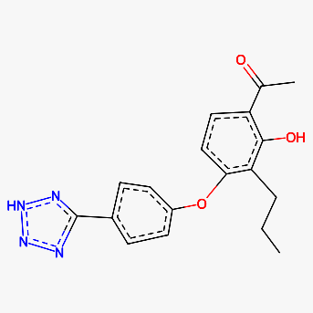 CCCc1c(Oc2ccc(-c3nn[nH]n3)cc2)ccc(C(C)=O)c1O